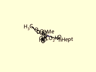 CC#CCOc1ccc(C[C@H](NC(=O)[C@@H](/C=C/CCCCCCC(=O)CCCCCCC)[C@@](O)(CC(=O)N2CCCC2)C(=O)O)C(=O)OC)cc1